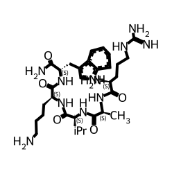 CC(C)[C@H](NC(=O)[C@H](C)NC(=O)[C@@H](N)CCCNC(=N)N)C(=O)N[C@@H](CCCCN)C(=O)N[C@@H](Cc1c[nH]c2ccccc12)C(N)=O